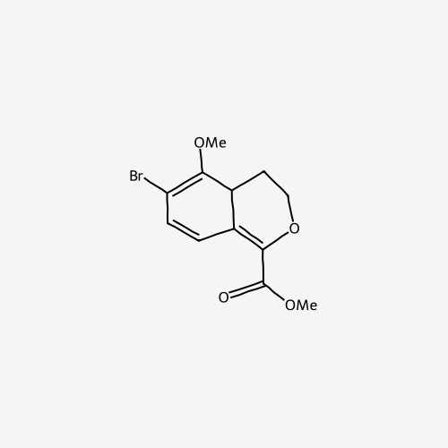 COC(=O)C1=C2C=CC(Br)=C(OC)C2CCO1